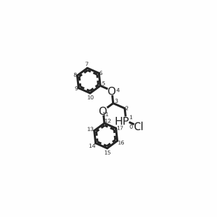 ClPCC(Oc1ccccc1)Oc1ccccc1